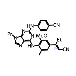 CC/C(=C\C#N)c1cc(C)c(Nc2nc(Nc3ccc(C#N)cc3)nc3c2ncn3C(C)C)c(OC)c1